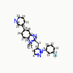 CCn1c(Cc2ccnn2-c2cccc(F)c2)nc2cc(-c3cccnc3)ccc21